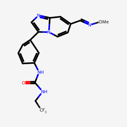 CON=Cc1ccn2c(-c3cccc(NC(=O)NCC(F)(F)F)c3)cnc2c1